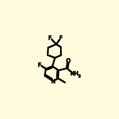 Cc1ncc(F)c(C2CCC(F)(F)CC2)c1C(N)=O